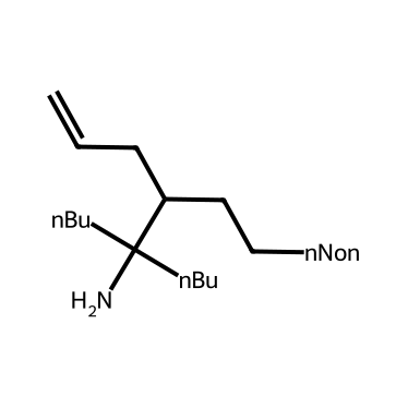 C=CCC(CCCCCCCCCCC)C(N)(CCCC)CCCC